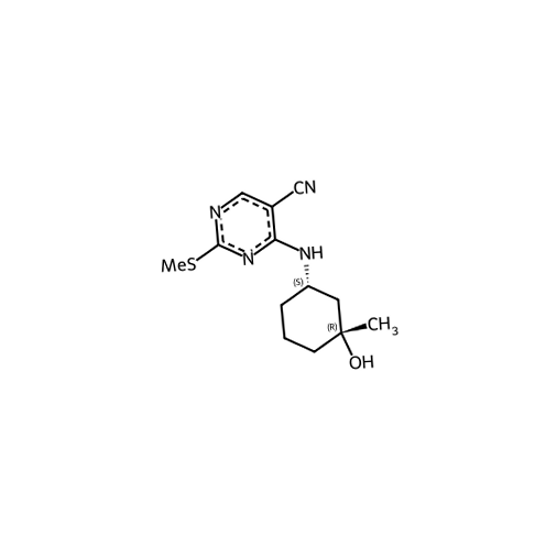 CSc1ncc(C#N)c(N[C@H]2CCC[C@@](C)(O)C2)n1